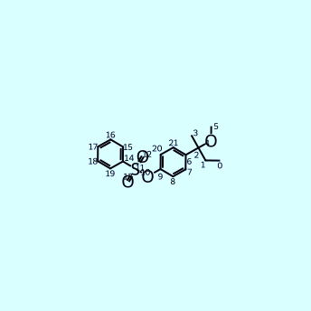 CCC(C)(OC)c1ccc(OS(=O)(=O)c2ccccc2)cc1